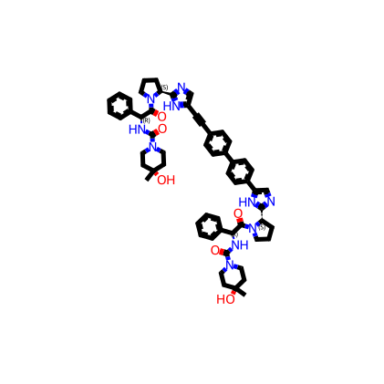 CC1(O)CCN(C(=O)N[C@@H](C(=O)N2CCC[C@H]2c2ncc(C#Cc3ccc(-c4ccc(-c5cnc([C@@H]6CCCN6C(=O)[C@H](NC(=O)N6CCC(C)(O)CC6)c6ccccc6)[nH]5)cc4)cc3)[nH]2)c2ccccc2)CC1